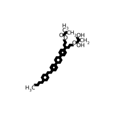 C=C(C)C(=O)OCCCC(CCCOC(O)C(=C)CO)c1ccc(C2CCC(c3ccc(CCC4CCC(CCCCC)CC4)cc3)CC2)cc1